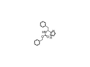 O=C(NC(Cc1ccccc1)c1ncc[nH]1)OCc1ccccc1